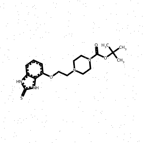 CC(C)(C)OC(=O)N1CCN(CCOc2cccc3[nH]c(=S)[nH]c23)CC1